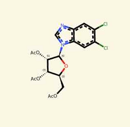 CC(=O)OC[C@@H]1O[C@H](n2cnc3cc(Cl)c(Cl)cc32)[C@@H](OC(C)=O)[C@H]1OC(C)=O